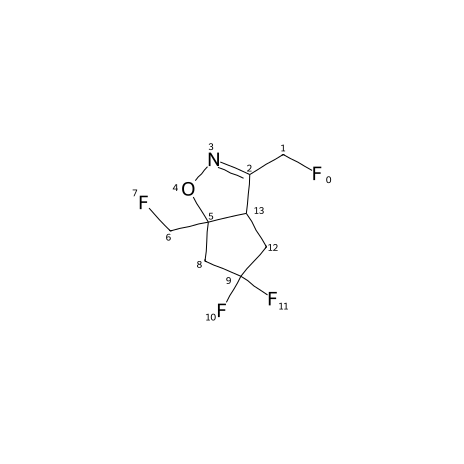 FCC1=NOC2(CF)CC(F)(F)CC12